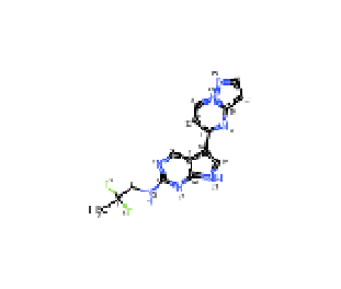 CC(F)(F)CNc1ncc2c(-c3ccn4nccc4n3)c[nH]c2n1